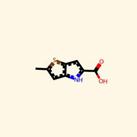 Cc1cc2[nH]c(C(=O)O)cc2s1